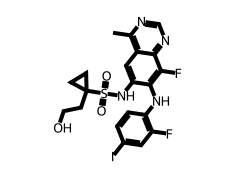 Cc1ncnc2c(F)c(Nc3ccc(I)cc3F)c(NS(=O)(=O)C3(CCO)CC3)cc12